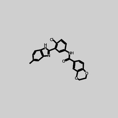 Cc1ccc2[nH]c(-c3cc(NC(=O)c4ccc5c(c4)OCCO5)ccc3Cl)nc2c1